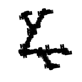 COC(=O)C(CCCCNC(=O)COCCOCCOCCNC(=O)C(CCCNC(=O)COCCOCCOCCNC(=O)OC(C)(C)C)NC(=O)COCCOCCOCCNC(=O)OC(C)(C)C)NC(=O)COCCOCCOCCNC(=O)C(CCCCNC(=O)COCCOCCOCCNC(=O)OC(C)(C)C)NC(=O)COCCOCCOCCNC(=O)OC(C)(C)C